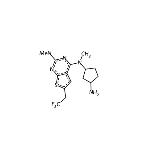 CNc1nc(N(C)C2CCC(N)C2)c2cc(CC(F)(F)F)sc2n1